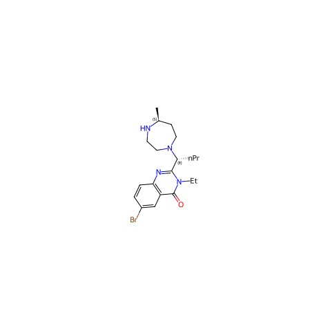 CCC[C@H](c1nc2ccc(Br)cc2c(=O)n1CC)N1CCN[C@@H](C)CC1